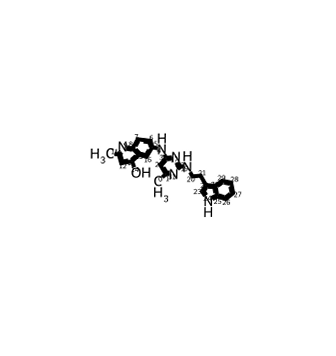 Cc1cc(Nc2ccc3nc(C)cc(O)c3c2)nc(NCCc2c[nH]c3ccccc23)n1